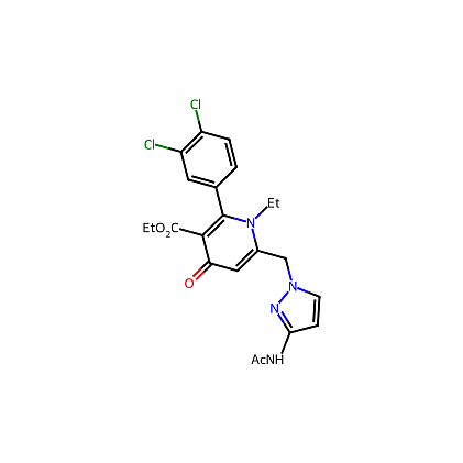 CCOC(=O)c1c(-c2ccc(Cl)c(Cl)c2)n(CC)c(Cn2ccc(NC(C)=O)n2)cc1=O